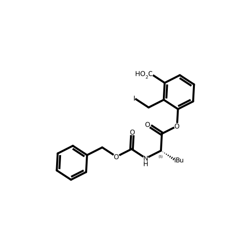 CCC(C)[C@H](NC(=O)OCc1ccccc1)C(=O)Oc1cccc(C(=O)O)c1CI